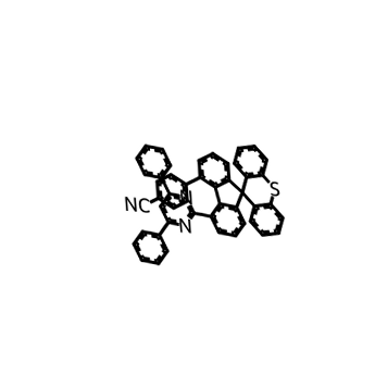 N#Cc1ccc(-c2cccc3c2-c2c(-c4nc(-c5ccccc5)cc(-c5ccccc5)n4)cccc2C32c3ccccc3Sc3ccccc32)cc1